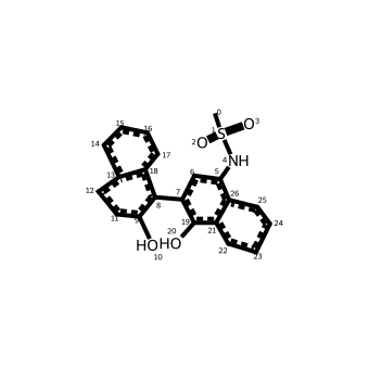 CS(=O)(=O)Nc1cc(-c2c(O)ccc3ccccc23)c(O)c2ccccc12